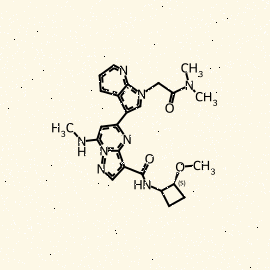 CNc1cc(-c2cn(CC(=O)N(C)C)c3ncccc23)nc2c(C(=O)NC3CC[C@@H]3OC)cnn12